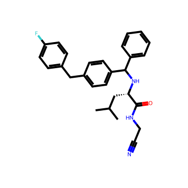 CC(C)C[C@H](NC(c1ccccc1)c1ccc(Cc2ccc(F)cc2)cc1)C(=O)NCC#N